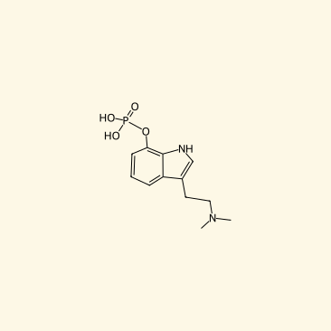 CN(C)CCc1c[nH]c2c(OP(=O)(O)O)cccc12